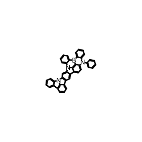 c1ccc(N2c3ccccc3B3c4ccccc4-n4c5cc6c(cc5c5ccc2c3c54)c2cccc3c4ccccc4n6c32)cc1